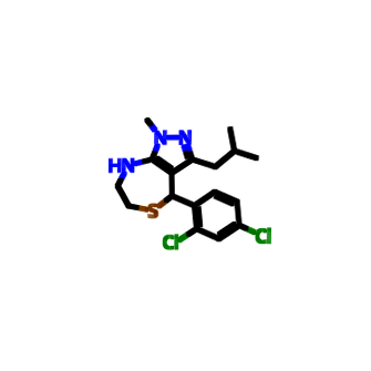 CC(C)Cc1nn(C)c2c1C(c1ccc(Cl)cc1Cl)SCCN2